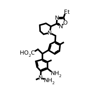 CCc1nc(C2CCCCN2Cc2cc(C(CC(=O)O)c3ccc(N(C)N)c(N)c3C)ccc2C)no1